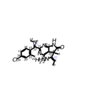 C/C=C(\N)C1(C)C(=O)Nc2nc(/C(=N/C)c3ccc(Cl)cc3C)nc(N)c21